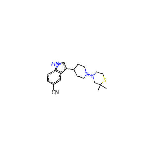 CC1(C)CN(N2CCC(c3c[nH]c4ccc(C#N)cc34)CC2)CCS1